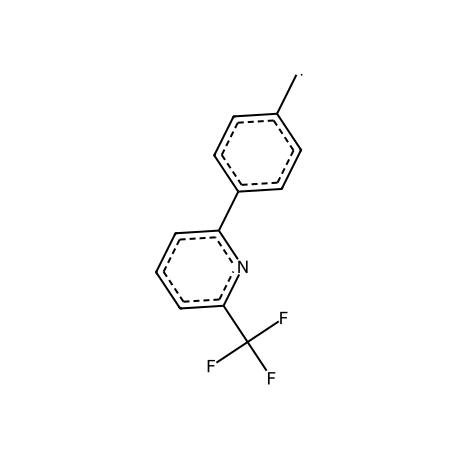 [CH2]c1ccc(-c2cccc(C(F)(F)F)n2)cc1